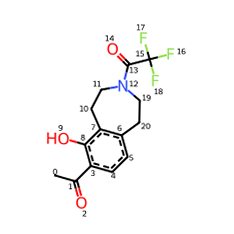 CC(=O)c1ccc2c(c1O)CCN(C(=O)C(F)(F)F)CC2